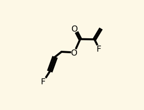 C=C(F)C(=O)OCC#CF